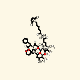 CCC(C)C(C(CC(=O)N1CCC[C@H]1C(OC)C(C)C(=O)NC(Cc1ccccc1)C(=O)N1OC2C=CC1CC2)OC)N(C)C(=O)C(NC(=O)C(C(C)C)N(C)CCCC(=O)NNC(=O)CCCCCN1C(=O)C=CC1=O)C(C)C